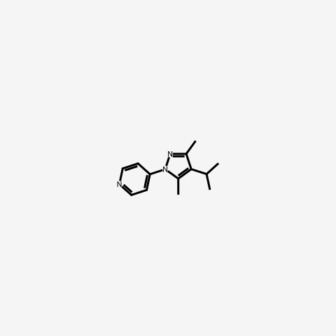 Cc1nn(-c2ccncc2)c(C)c1C(C)C